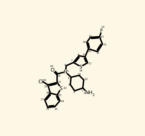 NC1CCC(N(Cc2cc(-c3ccc(F)cc3)cs2)C(=O)c2sc3ccccc3c2Cl)CC1